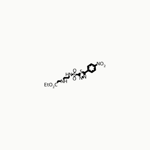 CCOC(=O)CNCCNS(=O)(=O)c1nnc(-c2ccc([N+](=O)[O-])cc2)s1